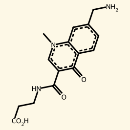 Cn1cc(C(=O)NCCC(=O)O)c(=O)c2ccc(CN)cc21